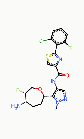 Cn1ncc(NC(=O)c2csc(-c3c(F)cccc3Cl)n2)c1[C@@H]1CC[C@@H](N)[C@H](F)CO1